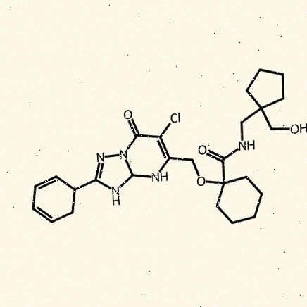 O=C1C(Cl)=C(COC2(C(=O)NCC3(CO)CCCC3)CCCCC2)NC2NC(C3C=CC=CC3)=NN12